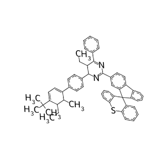 CCC1C(C(C)(C)C)=CC=C(c2ccc(C3N=C(c4ccc5c(c4)C4(c6ccccc6Sc6ccccc64)c4ccccc4-5)N=C(c4ccccc4)C3CC)cc2)C1C